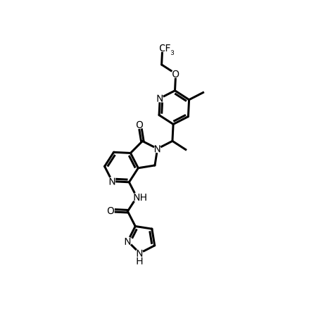 Cc1cc(C(C)N2Cc3c(ccnc3NC(=O)c3cc[nH]n3)C2=O)cnc1OCC(F)(F)F